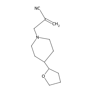 C=C(C#N)CN1CCC(C2CCCO2)CC1